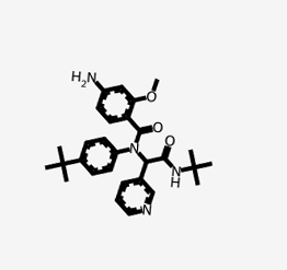 COc1cc(N)ccc1C(=O)N(c1ccc(C(C)(C)C)cc1)C(C(=O)NC(C)(C)C)c1cccnc1